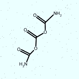 NC(=O)OC(=O)OC(N)=O